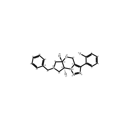 Fc1ccccc1-c1nnn2c1CO[C@H]1CN(Cc3ccccc3)C[C@@H]12